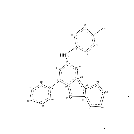 Cc1ccc(Nc2nc(-c3ccccc3)c3oc4ccccc4c3n2)cc1